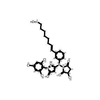 CCCCCCCCCCCCCCCCC=Cc1cccc(N(c2cc(=O)n(-c3c(Cl)cc(Cl)cc3Cl)[nH]2)N2C(=O)CC(Cl)C2=O)c1